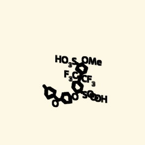 COc1ccc(C(c2ccc(Oc3ccc(C(=O)c4ccc(C)cc4)cc3)c(SOOO)c2)(C(F)(F)F)C(F)(F)F)cc1S(=O)(=O)O